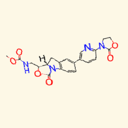 COC(=O)NCC1OC(=O)N2c3ccc(-c4ccc(N5CCOC5=O)nc4)cc3C[C@@H]12